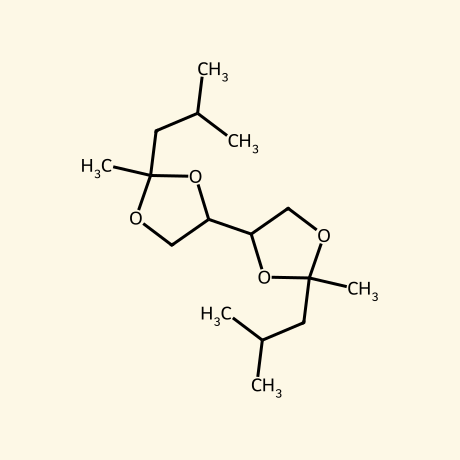 CC(C)CC1(C)OCC(C2COC(C)(CC(C)C)O2)O1